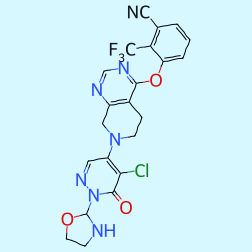 N#Cc1cccc(Oc2ncnc3c2CCN(c2cnn(C4NCCO4)c(=O)c2Cl)C3)c1C(F)(F)F